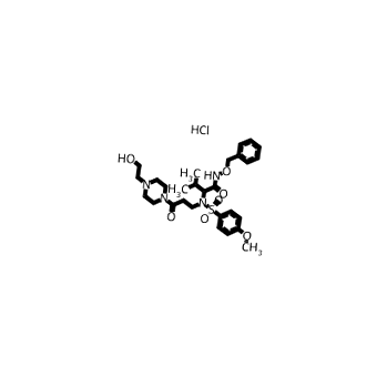 COc1ccc(S(=O)(=O)N(CCC(=O)N2CCN(CCO)CC2)C(C(=O)NOCc2ccccc2)C(C)C)cc1.Cl